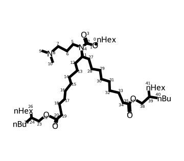 CCCCCCOC(=O)N(CCCN(C)C)C(CCCCCCCCC(=O)OCC(CCCC)CCCCCC)CCCCCCCCC(=O)OCC(CCCC)CCCCCC